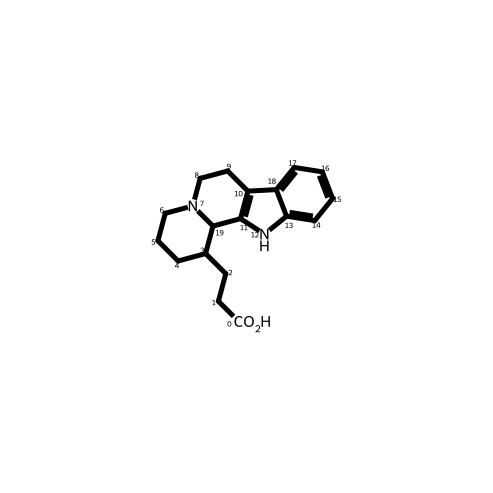 O=C(O)CCC1CCCN2CCc3c([nH]c4ccccc34)C12